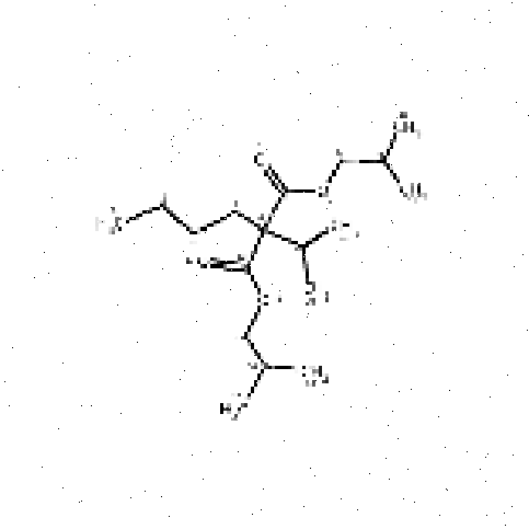 CCCCC(C(=O)OCC(C)C)(C(=O)OCC(C)C)C(C)C